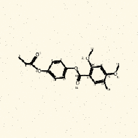 CCC(=O)Oc1ccc(OC(=O)c2cc(C)c(OC)cc2OC)cc1